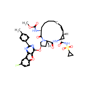 COC(=O)N[C@H]1CCCCC/C=C\[C@@H]2C[C@@]2(C(=O)NS(=O)(=O)C2CC2)NC(=O)[C@@H]2C[C@@H](Oc3nc(-c4ccc(C)cc4)nc4c3oc3ccc(F)cc34)CN2C1=O